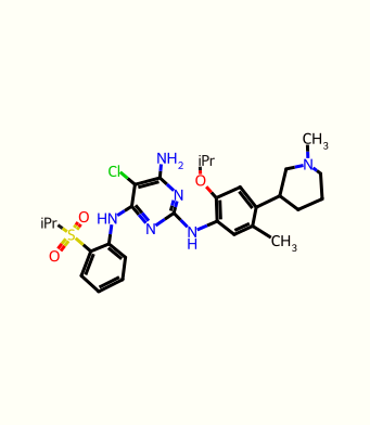 Cc1cc(Nc2nc(N)c(Cl)c(Nc3ccccc3S(=O)(=O)C(C)C)n2)c(OC(C)C)cc1C1CCCN(C)C1